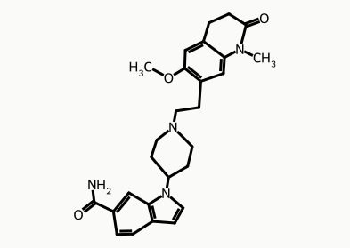 COc1cc2c(cc1CCN1CCC(n3ccc4ccc(C(N)=O)cc43)CC1)N(C)C(=O)CC2